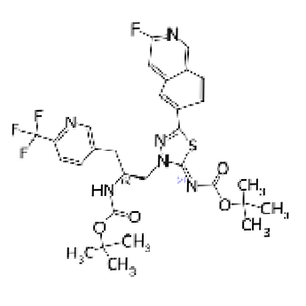 CC(C)(C)OC(=O)/N=c1\sc(-c2ccc3cnc(F)cc3c2)nn1C[C@H](Cc1ccc(C(F)(F)F)nc1)NC(=O)OC(C)(C)C